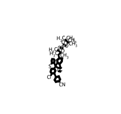 CC1(C)OB(B2OC(C)(C)C(C)(Cc3ccc4c(c3)C3(c5ccccc5Sc5cc(Cl)c(-c6ccc(C#N)cc6)cc53)c3ccccc3-4)O2)OC1(C)C